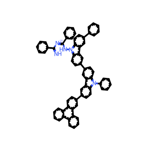 N=C(/N=C(\Nn1c2ccc(-c3ccccc3)cc2c2cc(-c3ccc4c(c3)c3cc(-c5ccc6c7ccccc7c7ccccc7c6c5)ccc3n4-c3ccccc3)ccc21)c1ccccc1)c1ccccc1